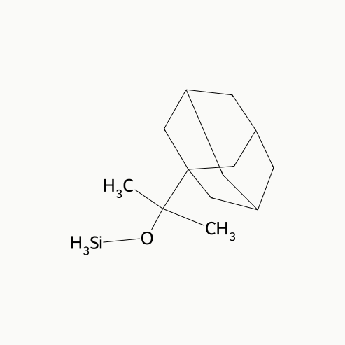 CC(C)(O[SiH3])C12CC3CC(CC(C3)C1)C2